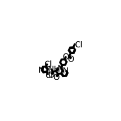 O=C(OC1CCC(n2cc(C(=O)Nc3c(Cl)cncc3Cl)c(=O)c3cccnc32)CC1)c1ccc(CCl)cc1